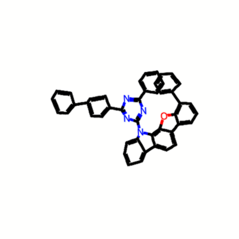 c1ccc(-c2ccc(-c3nc(-c4ccccc4)nc(-n4c5ccccc5c5ccc6c7cccc(-c8ccccc8)c7oc6c54)n3)cc2)cc1